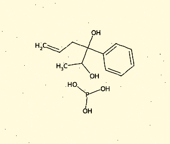 C=CCC(O)(c1ccccc1)C(C)O.OP(O)O